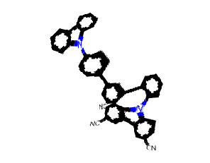 N#Cc1cc(-c2ccc(-n3c4ccccc4c4ccccc43)cc2)cc(-c2ccccc2-n2c3ccc(C#N)cc3c3cc(C#N)ccc32)c1